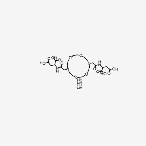 O=C(O)CC(NC(=O)CN1CCOCCOCCN(CC(=O)NC(CC(=O)O)C(=O)O)CCOCCOCC1)C(=O)O.[LiH].[LiH].[LiH].[LiH]